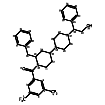 O=C(c1cc(C(F)(F)F)cc(C(F)(F)F)c1)N1CCC(N2CCN(C(CO)c3ccccc3)CC2)CC1Cc1ccccc1